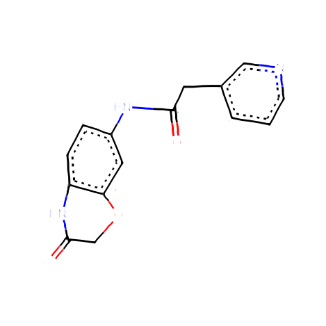 O=C(Cc1cccnc1)Nc1ccc2c(c1)OCC(=O)N2